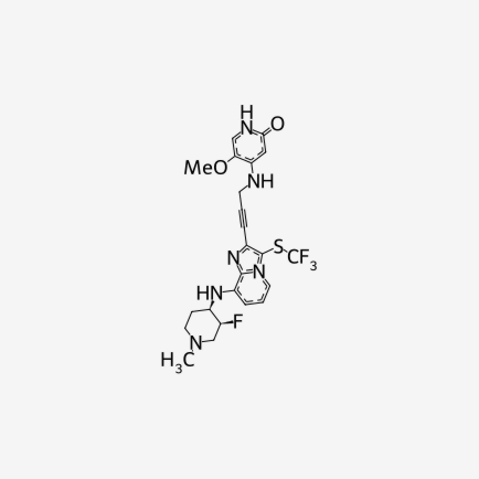 COc1c[nH]c(=O)cc1NCC#Cc1nc2c(N[C@@H]3CCN(C)C[C@@H]3F)cccn2c1SC(F)(F)F